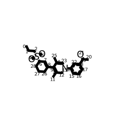 CCCS(=O)(=O)C1C=C(C2=C(C)CN(c3cccc(C(C)=O)c3)C=C2C)CCC1